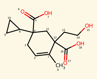 CC1=CCC(C(=O)O)(C2CC2)CC1(CCO)C(=O)O